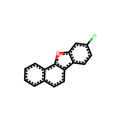 Clc1ccc2c(c1)oc1c3ccccc3ccc21